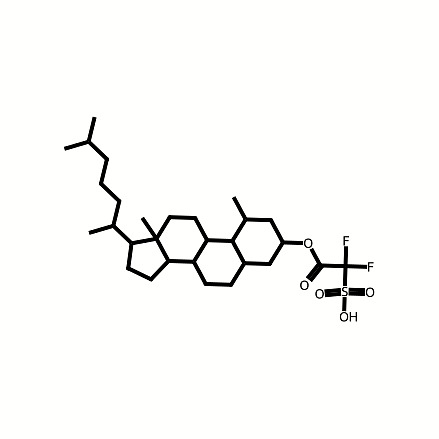 CC(C)CCCC(C)C1CCC2C3CCC4CC(OC(=O)C(F)(F)S(=O)(=O)O)CC(C)C4C3CCC12C